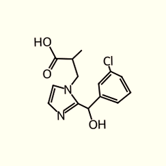 CC(Cn1ccnc1C(O)c1cccc(Cl)c1)C(=O)O